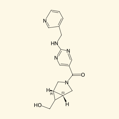 O=C(c1cnc(NCc2cccnc2)nc1)N1C[C@@H]2C(CO)[C@@H]2C1